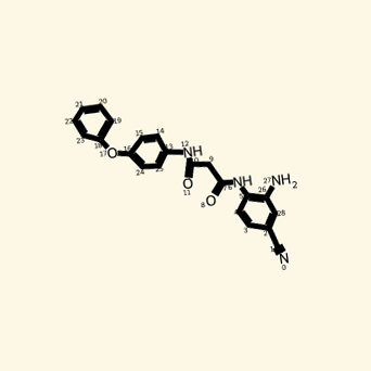 N#Cc1ccc(NC(=O)CC(=O)Nc2ccc(Oc3ccccc3)cc2)c(N)c1